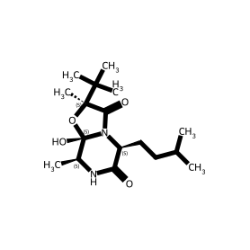 CC(C)CC[C@H]1C(=O)N[C@@H](C)[C@]2(O)O[C@@](C)(C(C)(C)C)C(=O)N12